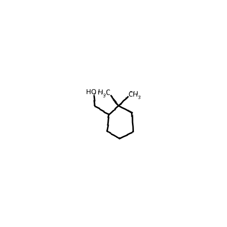 CC1(C)CCCCC1CO